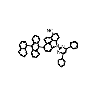 N#Cc1ccc2c3c1ccc1c(-c4c5ccccc5c(-c5cccc6ccccc56)c5ccccc45)ccc(c13)n2-c1nc(-c2ccccc2)cc(-c2ccccc2)n1